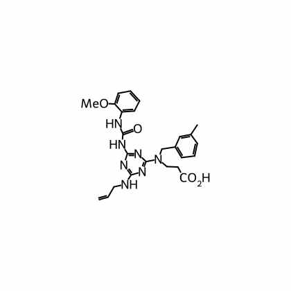 C=CCNc1nc(NC(=O)Nc2ccccc2OC)nc(N(CCC(=O)O)Cc2cccc(C)c2)n1